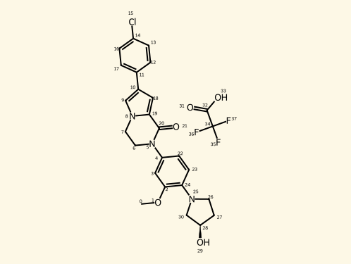 COc1cc(N2CCn3cc(-c4ccc(Cl)cc4)cc3C2=O)ccc1N1CC[C@@H](O)C1.O=C(O)C(F)(F)F